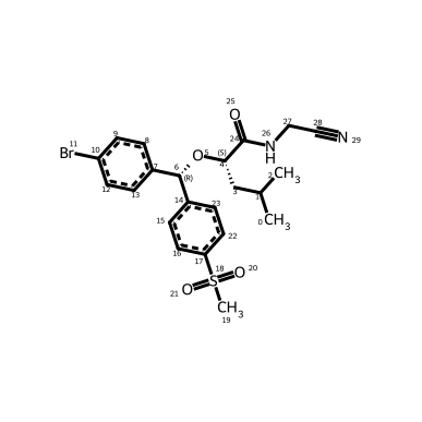 CC(C)C[C@H](O[C@@H](c1ccc(Br)cc1)c1ccc(S(C)(=O)=O)cc1)C(=O)NCC#N